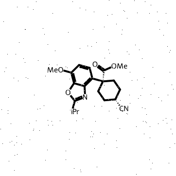 COc1ccc([C@]2(C(=O)OC)CC[C@@H](C#N)CC2)c2nc(C(C)C)oc12